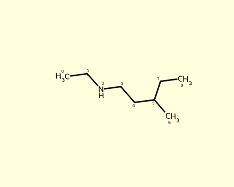 C[CH]NCCC(C)CC